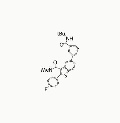 CNC(=O)c1c(-c2ccc(F)cc2)sc2ccc(-c3cccc(C(=O)NC(C)(C)C)c3)cc12